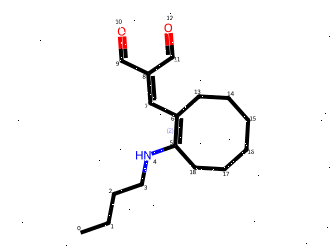 CCCCN/C1=C(\C=C(C=O)C=O)CCCCCC1